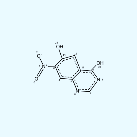 O=[N+]([O-])c1cc2ncnc(O)c2cc1O